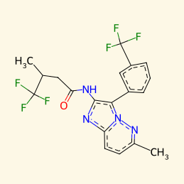 Cc1ccc2nc(NC(=O)CC(C)C(F)(F)F)c(-c3cccc(C(F)(F)F)c3)n2n1